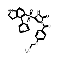 CCOc1ccc(C(=O)n2cc(S(=O)(=O)c3ccc4c(c3-c3ccccc3)CCN4)[nH]c2=O)cc1